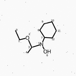 CCOC(C)N(O)C1CCCCC1